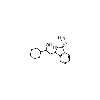 N/N=C1\NC(CC(O)C2CCCCC2)c2ccccc21